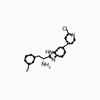 N[C@H](Cc1cccc(F)c1)c1nc2ccc(-c3ccnc(Cl)c3)cc2[nH]1